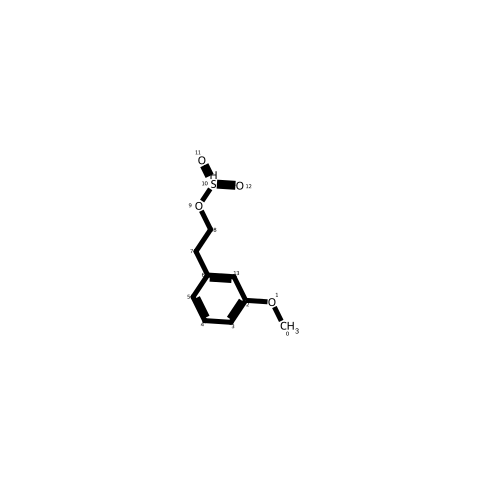 COc1cccc(CCO[SH](=O)=O)c1